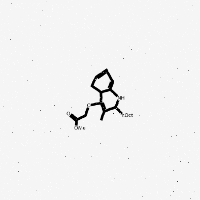 CCCCCCCCC1NC2=CC=CCC2C(OCC(=O)OC)=C1C